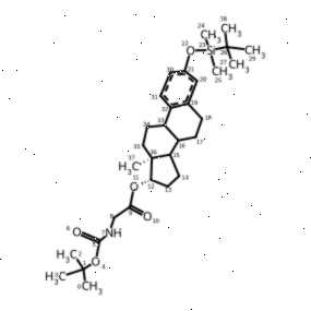 CC(C)(C)OC(=O)NCC(=O)O[C@H]1CCC2C3CCc4cc(O[Si](C)(C)C(C)(C)C)ccc4C3CC[C@@]21C